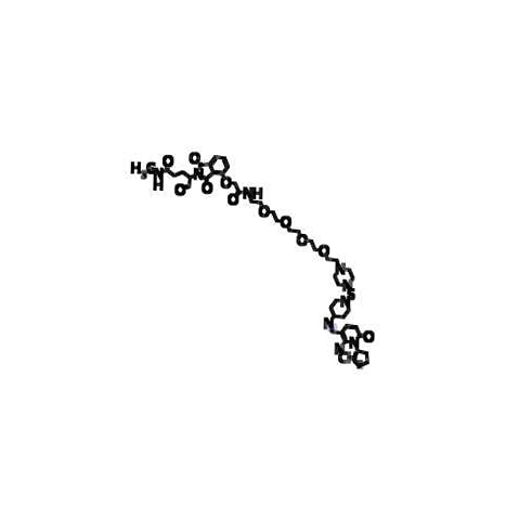 C=Nc1c(/C=N\C2CCN(SN3CCN(CCOCCOCCOCCOCCNC(=O)COc4cccc5c4C(=O)N(C(C=O)CCC(=O)NC)C5=O)CC3)CC2)ccc(=O)n1C1CCCC1